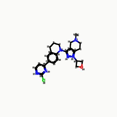 CC(=O)N1CCc2c(c(N3CCCc4cc(-c5ccnc(Cl)n5)ccc43)nn2C2COC2)C1